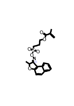 C=C(C)C(=O)OCCCS(=O)(=O)O/N=C1/c2c(ccc3ccccc23)OC1C